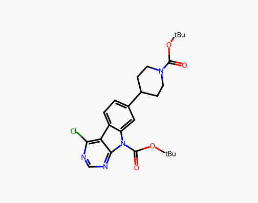 CC(C)(C)OC(=O)N1CCC(c2ccc3c4c(Cl)ncnc4n(C(=O)OC(C)(C)C)c3c2)CC1